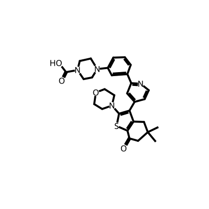 CC1(C)CC(=O)c2sc(N3CCOCC3)c(-c3ccnc(-c4cccc(N5CCN(C(=O)O)CC5)c4)c3)c2C1